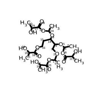 CC(OCC(OC(C)OC(=O)C(C)O)C(CCOC(=O)C(C)O)OC(C)OC(=O)C(C)O)OC(=O)C(C)O